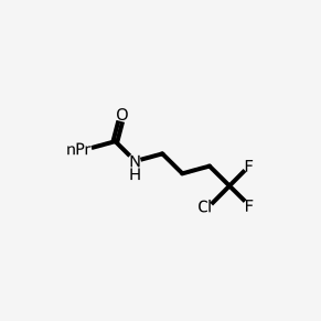 CCCC(=O)NCCCC(F)(F)Cl